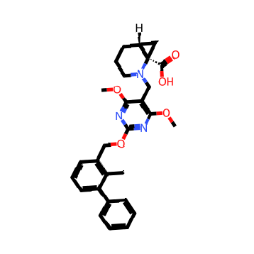 COc1nc(OCc2cccc(-c3ccccc3)c2C)nc(OC)c1CN1CCC[C@@H]2C[C@]21C(=O)O